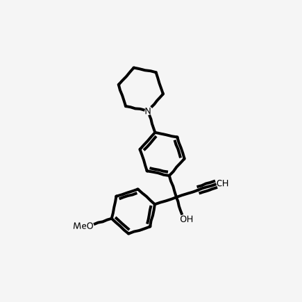 C#CC(O)(c1ccc(OC)cc1)c1ccc(N2CCCCC2)cc1